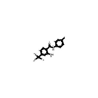 Cc1ccc(NC(=O)c2ccc(C(F)(F)F)cc2O)cc1